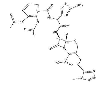 CC(=O)Oc1cccc(C(=O)NC(C(=O)N[C@@H]2C(=O)N3C(C(=O)O)=C(CSc4nnnn4C)CS[C@@H]23)c2csc(N)n2)c1OC(C)=O